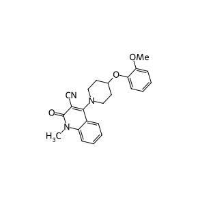 COc1ccccc1OC1CCN(c2c(C#N)c(=O)n(C)c3ccccc23)CC1